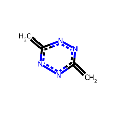 C=c1nnc(=C)nn1